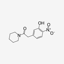 O=C(Cc1ccc([N+](=O)[O-])c(O)c1)N1CCCCC1